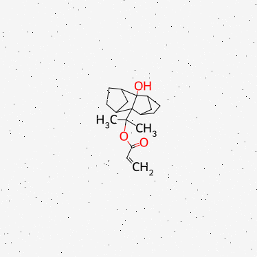 C=CC(=O)OC(C)(C)C12C3CCC(C3)C1(O)C1CCC2C1